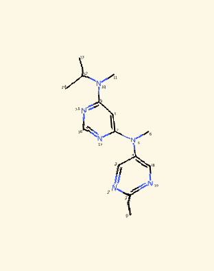 Cc1ncc(N(C)c2cc(N(C)C(C)C)ncn2)cn1